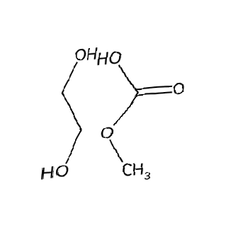 COC(=O)O.OCCO